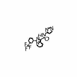 O=C(Nc1ccncn1)c1nc(-c2cccc(C(F)(F)F)c2)n2ccccc12